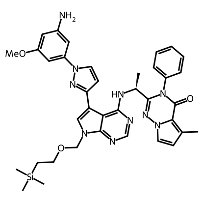 COc1cc(N)cc(-n2ccc(-c3cn(COCC[Si](C)(C)C)c4ncnc(N[C@@H](C)c5nn6ccc(C)c6c(=O)n5-c5ccccc5)c34)n2)c1